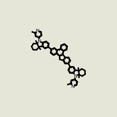 Cc1cc(N2c3ccc(-c4ccc5c(c4)Cc4c-5c5ccccc5c5cc(-c6ccc7c(c6)C6(C)CCCCC6(C)N7c6ccnc(C)c6)ccc45)cc3C3(C)CCCCC23C)ccn1